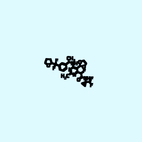 Cc1nc(N[C@H](C)c2cccc(C(F)(F)C3CCCO3)c2)c(C2OCCO2)c(C(F)C(=O)NC2(C(F)F)CC2)n1